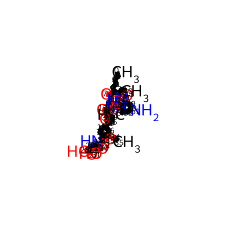 CCCCCC(C(=O)NCNC(=O)c1ccc(-c2ccc(C(=O)NC(CC(=O)O)C(=O)O)c(OCC)c2)o1)C(CC)N(C=O)OC(=O)c1ccc(N)cc1C